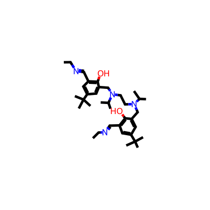 CC/N=C/c1cc(C(C)(C)C)cc(CN(CCN(Cc2cc(C(C)(C)C)cc(/C=N/CC)c2O)C(C)C)C(C)C)c1O